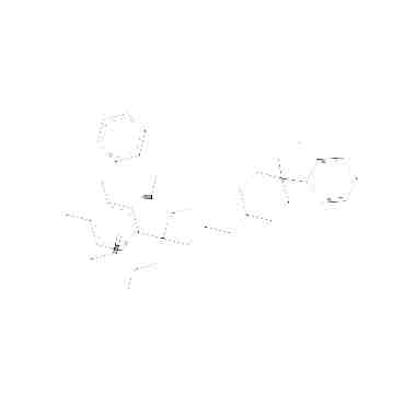 CN(C[C@](CCCC1CCC2(CC1)SCc1ccccc12)(c1ccc(Cl)c(Cl)c1)N(C)C(=O)Oc1ccccc1)C(=O)CC(F)(F)F